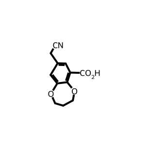 N#CCc1cc2c(c(C(=O)O)c1)OCCCO2